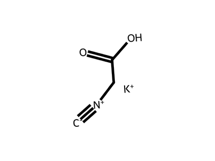 [C-]#[N+]CC(=O)O.[K+]